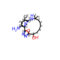 CC1(C)CCCCCC(O)c2nnc(o2)-c2nc(c(C(F)(F)F)cc2N)N1